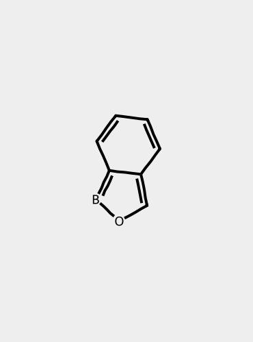 b1occ2ccccc12